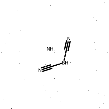 N.N#CBC#N